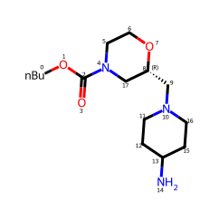 CCCCOC(=O)N1CCO[C@H](CN2CCC(N)CC2)C1